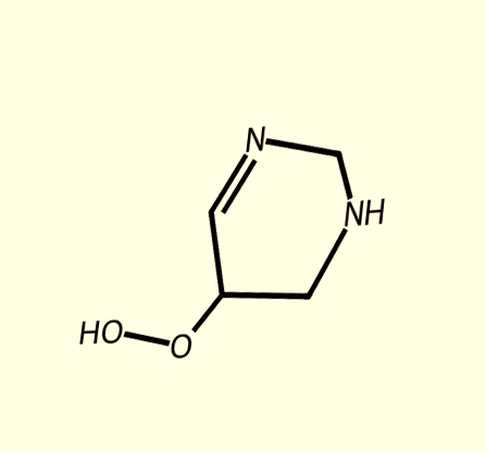 OOC1C=NCNC1